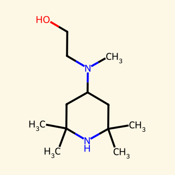 CN(CCO)C1CC(C)(C)NC(C)(C)C1